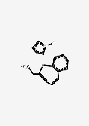 O=C(O)CC1=CC=Cc2ccccc2O1.[O-][s+]1cccc1